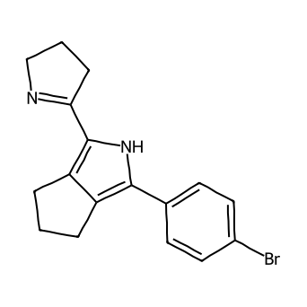 Brc1ccc(-c2[nH]c(C3=NCCC3)c3c2CCC3)cc1